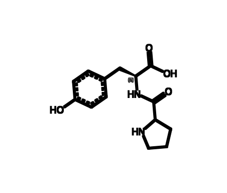 O=C(N[C@@H](Cc1ccc(O)cc1)C(=O)O)C1CCCN1